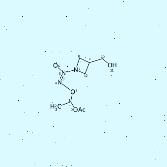 CC(=O)OC(C)O/N=[N+](/[O-])N1CC(CO)C1